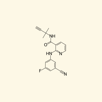 C#CC(C)(C)NC(=O)c1cccnc1Nc1cc(F)cc(C#N)c1